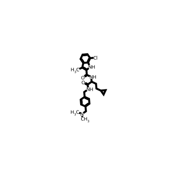 Cc1c(C(=O)NC(CCC2CC2)C(=O)NCc2ccc(CN(C)C)cc2)[nH]c2c(Cl)cccc12